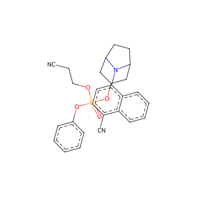 N#CCCOP(=O)(Oc1ccccc1)OC1CC2CCC(C1)N2c1ccc(C#N)c2ccccc12